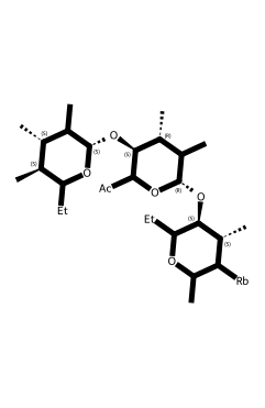 CCC1O[C@@H](O[C@@H]2C(C(C)=O)O[C@@H](O[C@@H]3C(CC)OC(C)[CH]([Rb])[C@H]3C)C(C)[C@H]2C)C(C)[C@@H](C)[C@@H]1C